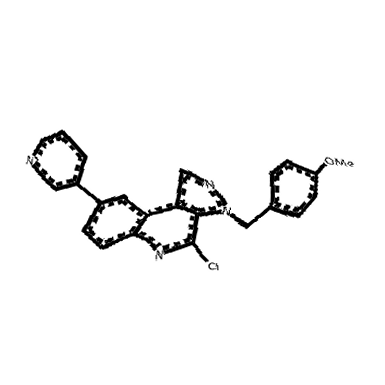 COc1ccc(Cn2ncc3c4cc(-c5cccnc5)ccc4nc(Cl)c32)cc1